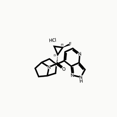 Cl.O=C([C@@H]1C[C@H]1F)N1C2CCC1CN(c1ccnc3c[nH]nc13)C2